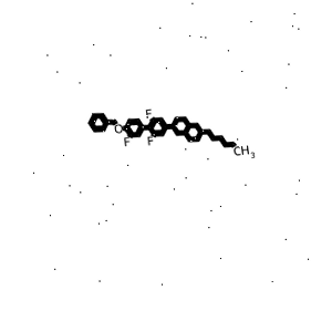 CCCCCCC1CCC2CC(c3cc(F)c(-c4ccc(OCc5ccccc5)c(F)c4)c(F)c3)CCC2C1